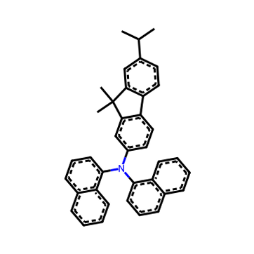 CC(C)c1ccc2c(c1)C(C)(C)c1cc(N(c3cccc4ccccc34)c3cccc4ccccc34)ccc1-2